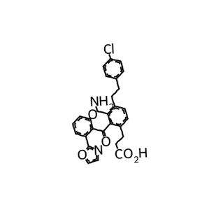 NC(=O)c1c(CCc2ccc(Cl)cc2)ccc(CCC(=O)O)c1C(=O)c1ccccc1-c1ncco1